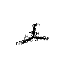 CCCOCCOCCNC(=O)CCC(N)(CCC(=O)NCCOCCOCCC)CCC(=O)NCCOCCOCCC